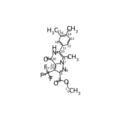 CCOC(=O)c1nn2c(C)c(-c3ccc(C)c(C)c3)[nH]c(=O)c2c1C(F)(F)F